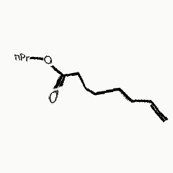 C=CCCCCC(=O)OCCC